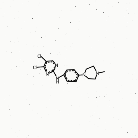 CN1CCN(c2ccc(Nc3ncc(Cl)c(Cl)n3)cc2)CC1